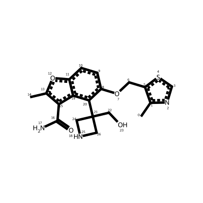 Cc1ncsc1COc1ccc2oc(C)c(C(N)=O)c2c1C1(CO)CNC1